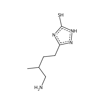 CC(CN)CCc1n[nH]c(S)n1